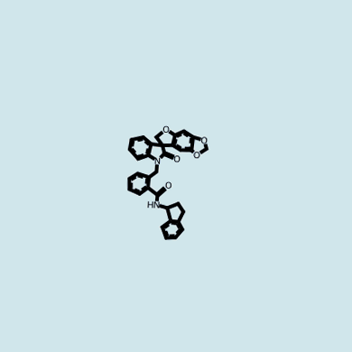 O=C(NC1CCc2ccccc21)c1ccccc1CN1C(=O)C2(COc3cc4c(cc32)OCO4)c2ccccc21